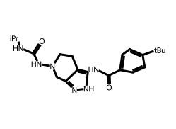 CC(C)NC(=O)NN1CCc2c(n[nH]c2NC(=O)c2ccc(C(C)(C)C)cc2)C1